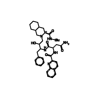 CC(C)(C)NC(=O)[C@@H]1CC2CCCCC2CN1CC(O)C(Cc1ccccc1)NC(=O)C(CC(N)=O)NC(=O)c1ccc2ccccc2n1